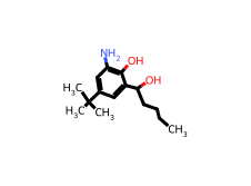 CCCCC(O)c1cc(C(C)(C)C)cc(N)c1O